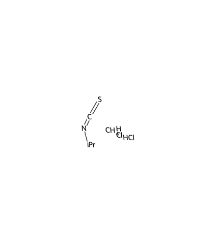 C.CC(C)N=C=S.Cl.Cl